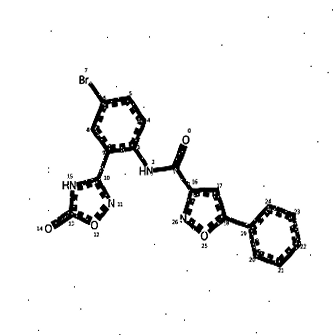 O=C(Nc1ccc(Br)cc1-c1noc(=O)[nH]1)c1cc(-c2ccccc2)on1